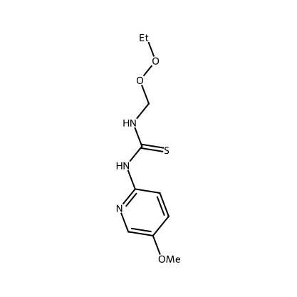 CCOOCNC(=S)Nc1ccc(OC)cn1